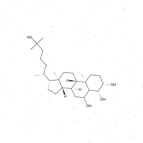 C[C@H](CCCC(C)(C)O)[C@H]1CC[C@H]2[C@@H]3CC(O)C4[C@@H](O)[C@@H](O)CC[C@]4(C)[C@H]3CC[C@]12C